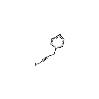 IC#CCc1ccccc1